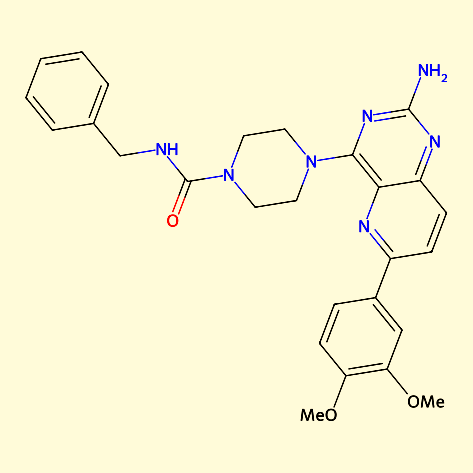 COc1ccc(-c2ccc3nc(N)nc(N4CCN(C(=O)NCc5ccccc5)CC4)c3n2)cc1OC